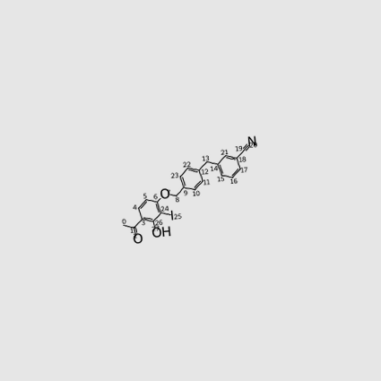 CC(=O)c1ccc(OCc2ccc(Cc3cccc(C#N)c3)cc2)c(I)c1O